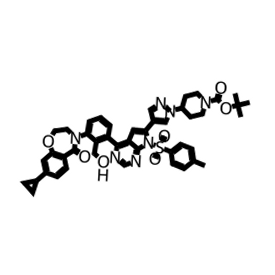 Cc1ccc(S(=O)(=O)n2c(-c3cnn(C4CCN(C(=O)OC(C)(C)C)CC4)c3)cc3c(-c4cccc(N5CCOc6cc(C7CC7)ccc6C5=O)c4CO)ncnc32)cc1